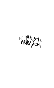 CC(C)CCN(CCC(C)C)C(=O)c1ccc2nc(Nc3ccc(C(F)(F)F)cc3)n(CCCN)c2c1